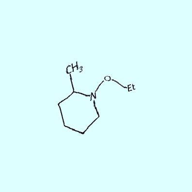 CCON1CCCCC1C